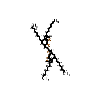 CCCCCCCCCCC(CCCCCCCC)Cc1cc(-c2cc(CC(CCCCCCCC)CCCCCCCCCC)c(-c3cccs3)s2)sc1-c1cccs1